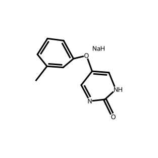 Cc1cccc(Oc2cnc(=O)[nH]c2)c1.[NaH]